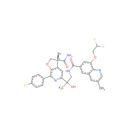 CC[C@]1(C(N)=O)COc2c1cc(C(O)(CNC(=O)c1cc(OCC(F)F)c3ncc(C)cc3c1)C(F)(F)F)nc2-c1ccc(F)cc1